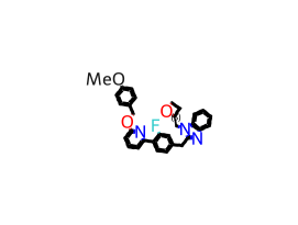 COc1ccc(COc2cccc(-c3ccc(Cc4nc5ccccc5n4C[C@@H]4CCO4)cc3F)n2)cc1